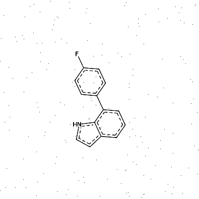 Fc1ccc(-c2cccc3cc[nH]c23)cc1